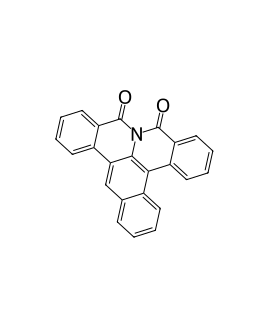 O=c1c2ccccc2c2cc3ccccc3c3c4ccccc4c(=O)n1c23